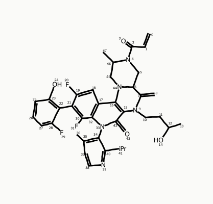 C=CC(=O)N1CC2C(=C)N(CCC(C)O)c3c(c4cc(F)c(-c5c(O)cccc5F)c(F)c4n(-c4c(C)ccnc4C(C)C)c3=O)N2CC1C